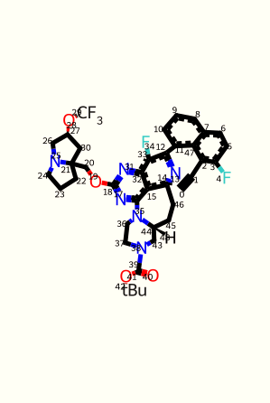 C#Cc1c(F)ccc2cccc(-c3nc4c5c(nc(OCC67CCCN6C[C@@H](OC(F)(F)F)C7)nc5c3F)N3CCN(C(=O)OC(C)(C)C)C[C@H]3CC4)c12